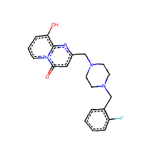 O=c1cc(CN2CCN(Cc3ccccc3F)CC2)nc2c(O)cccn12